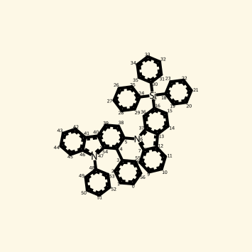 c1ccc(-c2c(-n3c4ccccc4c4ccc([Si](c5ccccc5)(c5ccccc5)c5ccccc5)cc43)ccc3c4ccccc4n(-c4ccccc4)c23)cc1